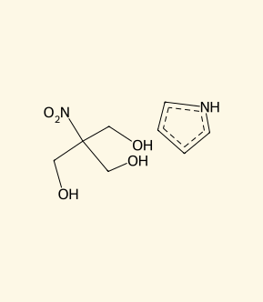 O=[N+]([O-])C(CO)(CO)CO.c1cc[nH]c1